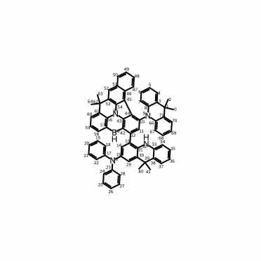 CC1(C)c2ccccc2N(c2cc(-c3cc(N(c4ccccc4)c4ccccc4)cc4c3Nc3ccccc3C4(C)C)c3c4c2c2c5ccccc5cc5c2n4-c2c(cccc2C5(C)C)B3)c2ccccc21